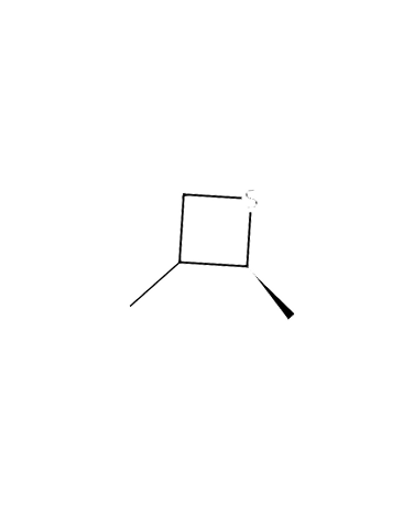 CC1CS[C@H]1C